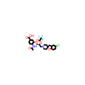 CC(=O)Nc1ccc(C(=O)O)cc1OC[C@H](CN1CCC2(CC1)Cc1cc(Cl)ccc1O2)OC(=O)C(F)(F)F